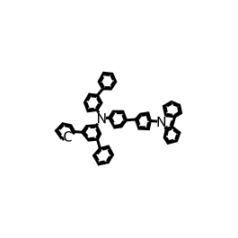 c1ccc(-c2cccc(N(c3ccc(-c4ccc(-n5c6ccccc6c6ccccc65)cc4)cc3)c3cc(-c4ccccc4)cc(-c4ccccc4)c3)c2)cc1